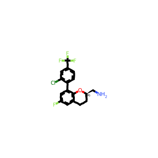 NC[C@H]1CCc2cc(F)cc(-c3ccc(C(F)(F)F)cc3Cl)c2O1